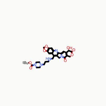 CC(C)(C)OC(=O)N1CCN(CCCNCc2c3c(nc4cc5c(cc24)OCO5)-c2cc4c(c(=O)n2C3)COC(=O)[C@H]4O)CC1